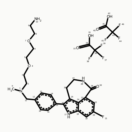 CN(CCOCCOCCN)Cc1ccc(-c2[nH]c3cc(F)cc4c3c2CCNC4=O)cc1.O=C(O)C(F)(F)F.O=C(O)C(F)(F)F